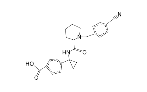 N#Cc1ccc(CN2CCCCC2C(=O)NC2(c3ccc(C(=O)O)cc3)CC2)cc1